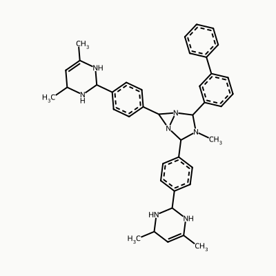 CC1=CC(C)NC(c2ccc(C3N(C)C(c4cccc(-c5ccccc5)c4)N4C(c5ccc(C6NC(C)=CC(C)N6)cc5)N34)cc2)N1